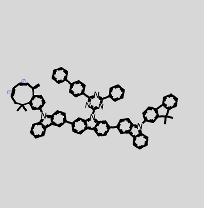 C=C1/C=C\C=C/CC(C)(C)c2cc(-n3c4ccccc4c4cc(-c5ccc6c7ccc(-c8ccc9c(c8)c8ccccc8n9-c8ccc9c(c8)C(C)(C)c8ccccc8-9)cc7n(-c7nc(-c8ccccc8)nc(-c8ccc(-c9ccccc9)cc8)n7)c6c5)ccc43)ccc21